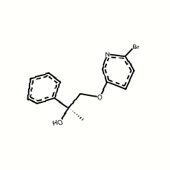 C[C@@](O)(COc1ccc(Br)nc1)c1ccccc1